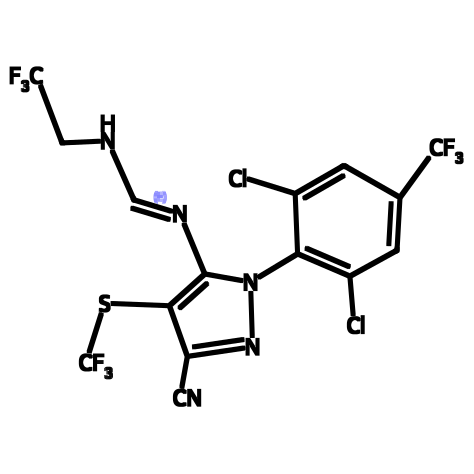 N#Cc1nn(-c2c(Cl)cc(C(F)(F)F)cc2Cl)c(/N=C/NCC(F)(F)F)c1SC(F)(F)F